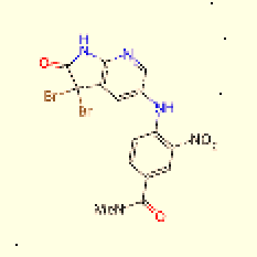 CNC(=O)c1ccc(Nc2cnc3c(c2)C(Br)(Br)C(=O)N3)c([N+](=O)[O-])c1